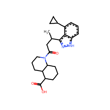 CC(CC(=O)N1CCCC2C(C(=O)O)CCCC21)c1n[nH]c2cccc(C3CC3)c12